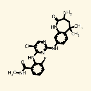 CNC(=O)c1cccc(F)c1Nc1nc(Nc2ccc3c(c2)NC(=O)C(N)CC3(C)C)ncc1Cl